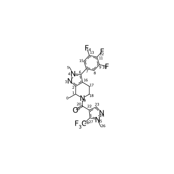 CC1c2nn(C)c(-c3cc(F)c(F)c(F)c3)c2CCN1C(=O)c1cnn(C)c1C(F)(F)F